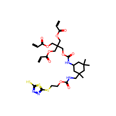 C=CC(=O)OCC(COC(=O)C=C)(COC(=O)C=C)COC(=O)NC1CC(C)(C)CC(C)(CNC(=O)OCCSc2nnc(S)s2)C1